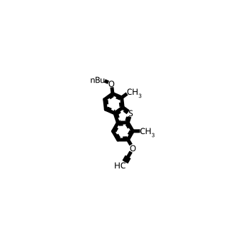 C#COc1ccc2c(sc3c(C)c(OCCCC)ccc32)c1C